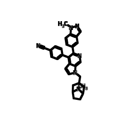 CN1C2CCC1CC(Cn1ccc3c(-c4ccc(C#N)cc4)c(-c4ccc5c(cnn5C)c4)ncc31)C2